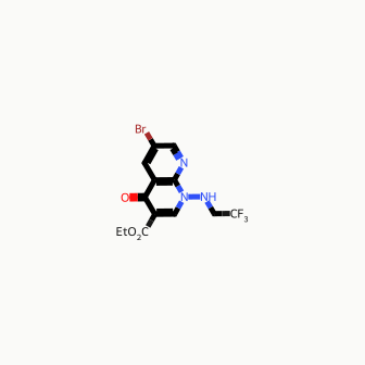 CCOC(=O)c1cn(NCC(F)(F)F)c2ncc(Br)cc2c1=O